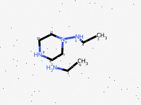 CCN.CCNN1CCNCC1